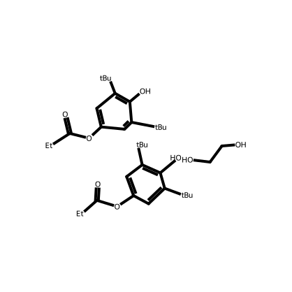 CCC(=O)Oc1cc(C(C)(C)C)c(O)c(C(C)(C)C)c1.CCC(=O)Oc1cc(C(C)(C)C)c(O)c(C(C)(C)C)c1.OCCO